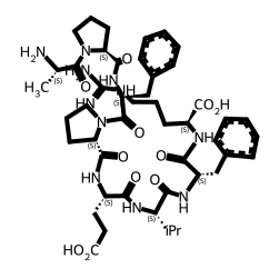 CC(C)[C@H](NC(=O)[C@H](CCC(=O)O)NC(=O)[C@@H]1CCCN1C(=O)[C@H](Cc1ccccc1)NC(=O)[C@@H]1CCCN1C(=O)[C@H](C)N)C(=O)N[C@@H](Cc1ccccc1)C(=O)N[C@@H](CCCNC(=N)N)C(=O)O